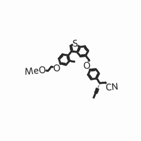 CC#C[C@@H](CC#N)c1ccc(OCc2ccc3scc(-c4ccc(OCCOC)cc4C)c3c2)cc1